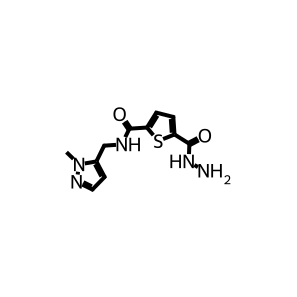 Cn1nccc1CNC(=O)c1ccc(C(=O)NN)s1